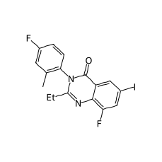 CCc1nc2c(F)cc(I)cc2c(=O)n1-c1ccc(F)cc1C